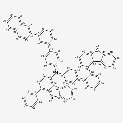 c1ccc(-c2ccc(N(c3ccc(-c4cccc(-c5ccc6ccccc6c5)c4)cc3)c3ccc(-c4ccccc4-c4cccc5sc6ccccc6c45)cc3)c3c2sc2ccccc23)cc1